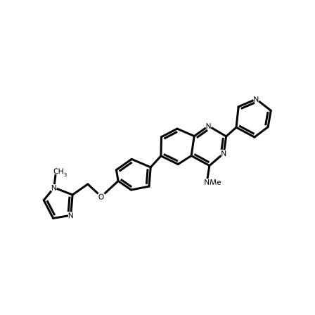 CNc1nc(-c2cccnc2)nc2ccc(-c3ccc(OCc4nccn4C)cc3)cc12